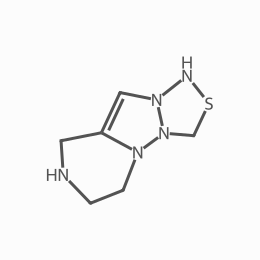 C1=C2CNCCN2N2CSNN12